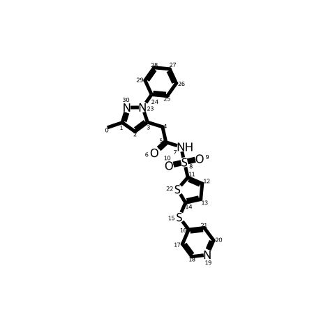 Cc1cc(CC(=O)NS(=O)(=O)c2ccc(Sc3ccncc3)s2)n(-c2ccccc2)n1